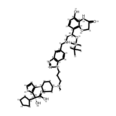 CN(CCCn1nnc2cc(CNC[C@H](O[Si](C)(C)C(C)(C)C)c3ccc(O)c4c3OCC(=O)N4)ccc21)[C@H]1CC[C@H](c2ccsc2[C@@](O)(C(=O)O)C2CCCC2)CC1